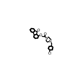 O=C1c2ccccc2-c2cccc(OCC(=O)N3CCN(Cc4ccc(Cl)cc4)CC3)c21